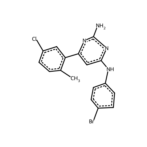 Cc1ccc(Cl)cc1-c1cc(Nc2ccc(Br)cc2)nc(N)n1